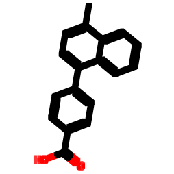 Cc1ccc(-c2ccc(C(=O)O)cc2)c2ccccc12